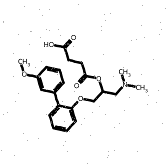 COc1cccc(-c2ccccc2OCC(CN(C)C)OC(=O)CCC(=O)O)c1